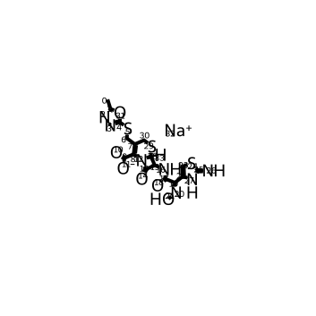 Cc1nnc(SCC2=C(C(=O)[O-])N3C(=O)C(NC(=O)/C(=N\O)c4csc(=N)[nH]4)[C@H]3SC2)o1.[Na+]